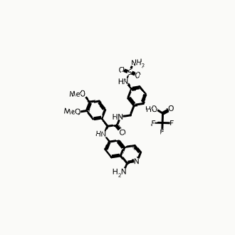 COc1ccc(C(Nc2ccc3c(N)nccc3c2)C(=O)NCc2cccc(NS(N)(=O)=O)c2)cc1OC.O=C(O)C(F)(F)F